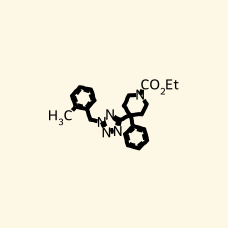 CCOC(=O)N1CCC(c2ccccc2)(c2nnn(Cc3ccccc3C)n2)CC1